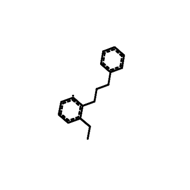 CCc1ccc[c]c1CCCc1ccccc1